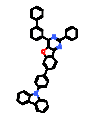 c1ccc(-c2cccc(-c3nc(-c4ccccc4)nc4c3oc3cc(-c5ccc(-n6c7ccccc7c7ccccc76)cc5)ccc34)c2)cc1